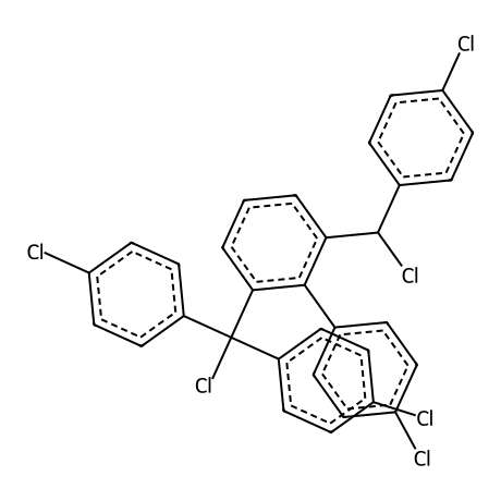 Clc1ccc(-c2c(C(Cl)c3ccc(Cl)cc3)cccc2C(Cl)(c2ccc(Cl)cc2)c2ccc(Cl)cc2)cc1